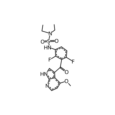 CCN(CC)S(=O)(=O)Nc1ccc(F)c(C(=O)c2c[nH]c3nccc(OC)c23)c1F